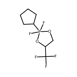 FC(F)(F)C1COP(F)(F)(C2CCCC2)O1